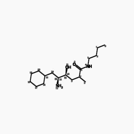 CCCCNC(=O)C(C)C[C@H](O)[C@@H](N)CC1CCCCC1